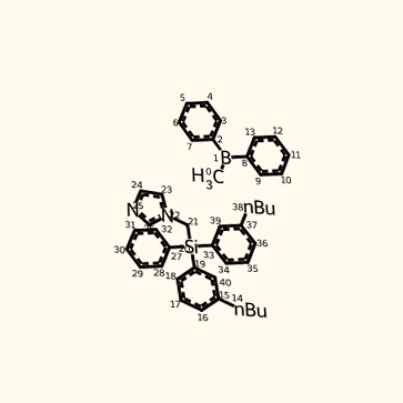 CB(c1ccccc1)c1ccccc1.CCCCc1cccc([Si](Cn2ccnc2)(c2ccccc2)c2cccc(CCCC)c2)c1